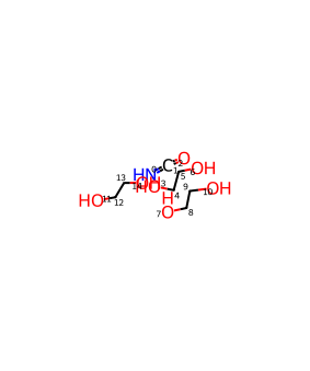 N=C=O.OCCO.OCCO.OCCO